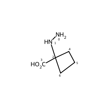 NNC1(C(=O)O)CCC1